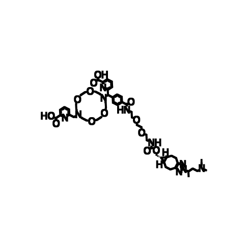 CC(CCN(C)I)n1nc2c(n1)CC[C@H]1[C@@H](CC2)[C@H]1COC(=O)NCCOCCOCCNC(=O)c1ccc(C(c2cccc(C(=O)O)n2)N2CCOCCOCCN(Cc3cccc(C(=O)O)n3)CCOCCOCC2)cc1